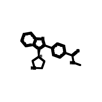 CNC(=O)c1ccc(-c2nc3ccccc3n2[C@H]2CCNC2)cc1